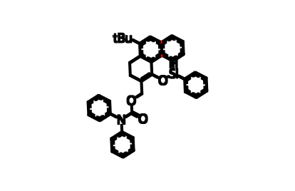 CC(C)(C)c1cccc2c1CCC(COC(=O)N(c1ccccc1)c1ccccc1)=C2O[SiH](c1ccccc1)c1ccccc1